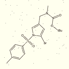 Cc1ccc(S(=O)(=O)n2cc(CN(C)C(=O)OC(C)(C)C)cc2Br)cc1